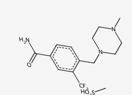 CN1CCN(Cc2ccc(C(N)=O)cc2C(F)(F)F)CC1.CS(=O)(=O)O